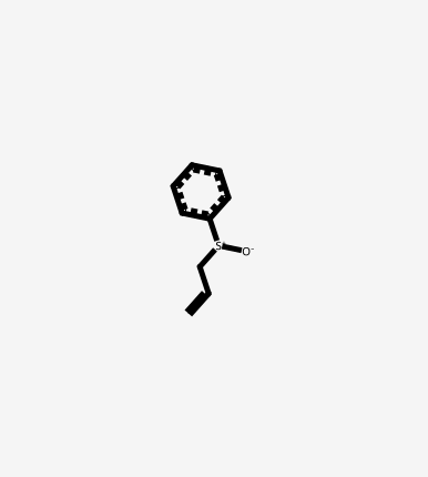 C=CC[S+]([O-])c1cc[c]cc1